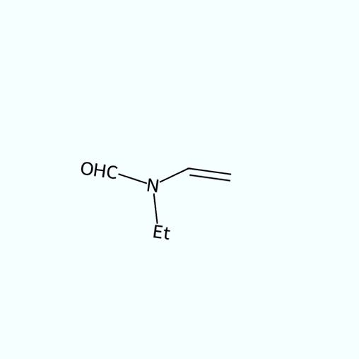 C=CN(C=O)CC